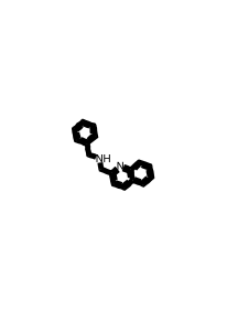 c1ccc(CNCc2ccc3ccccc3n2)cc1